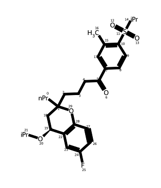 CCCC1(CCCC(=O)c2ccc(S(=O)(=O)C(C)C)c(C)c2)C[C@H](OC(C)C)c2cc(F)c#cc2O1